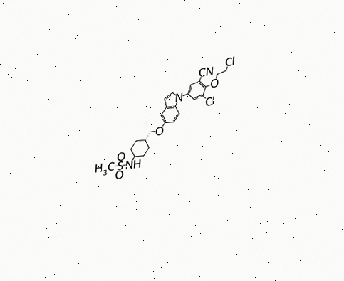 CS(=O)(=O)N[C@H]1CC[C@H](COc2ccc3c(ccn3-c3cc(Cl)c(OCCCl)c(C#N)c3)c2)CC1